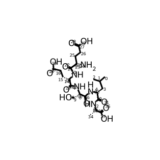 CC(C)C[C@H](NC(=O)[C@H](CO)NC(=O)[C@H](CCC(=O)O)NC(=O)[C@@H](N)CCC(=O)O)C(=O)N[C@@H](C)C(=O)O